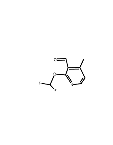 Cc1ccnc(OC(F)F)c1C=O